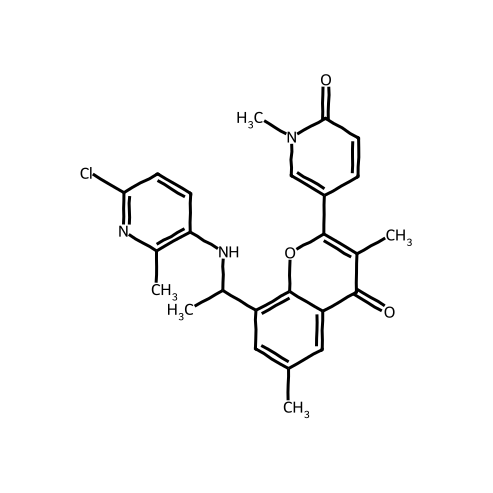 Cc1cc(C(C)Nc2ccc(Cl)nc2C)c2oc(-c3ccc(=O)n(C)c3)c(C)c(=O)c2c1